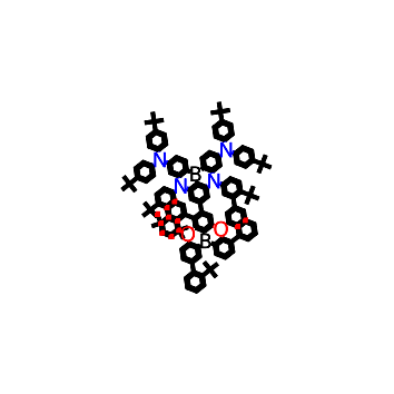 CC(C)(C)c1ccc(N(c2ccc(C(C)(C)C)cc2)c2ccc3c(c2)N(c2ccc(C(C)(C)C)c(-c4ccccc4)c2)c2cc(-c4cc5c6c(c4-c4cccc7c4C(C)(C)CCC7(C)C)Oc4ccc(-c7ccccc7C(C)(C)C)cc4B6c4cccc(-c6ccccc6)c4O5)cc4c2B3c2ccc(N(c3ccc(C(C)(C)C)cc3)c3ccc(C(C)(C)C)cc3)cc2N4c2ccc(C(C)(C)C)c(-c3ccccc3)c2)cc1